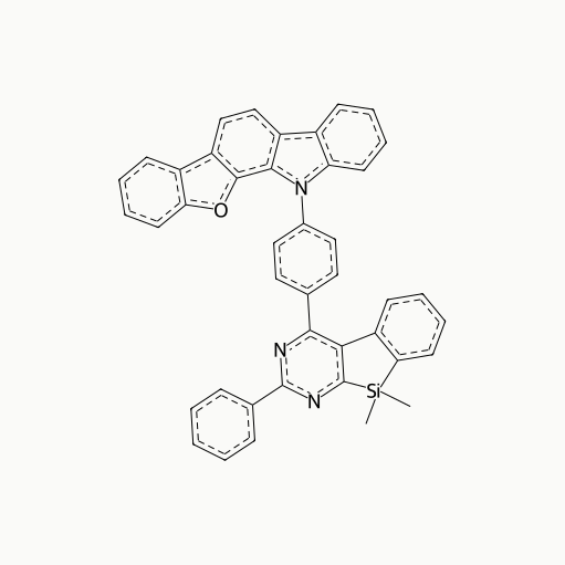 C[Si]1(C)c2ccccc2-c2c(-c3ccc(-n4c5ccccc5c5ccc6c7ccccc7oc6c54)cc3)nc(-c3ccccc3)nc21